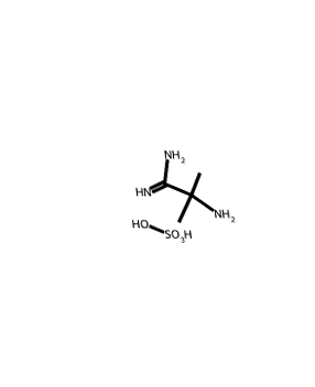 CC(C)(N)C(=N)N.O=S(=O)(O)O